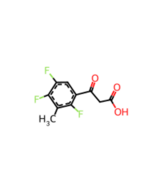 Cc1c(F)c(F)cc(C(=O)CC(=O)O)c1F